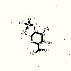 O=C(O)[C@H]1O[C@H](O)[C@@H](OS(=O)(=O)O)[C@H](O)[C@H]1O